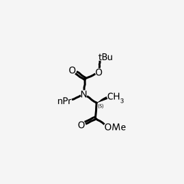 CCCN(C(=O)OC(C)(C)C)[C@@H](C)C(=O)OC